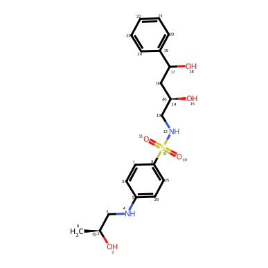 C[C@H](O)CNc1ccc(S(=O)(=O)NC[C@H](O)CC(O)c2ccccc2)cc1